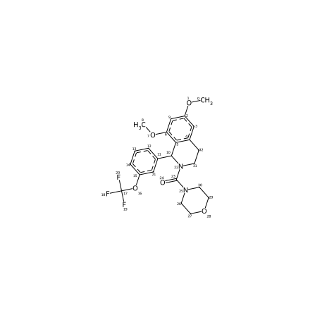 COc1cc2c(c(OC)c1)C(c1cccc(OC(F)(F)F)c1)N(C(=O)N1CCOCC1)CC2